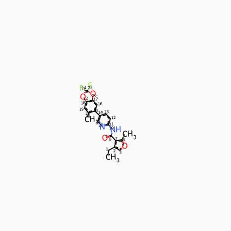 CCc1coc(C)c1C(=O)Nc1ccc(-c2cc3c(cc2C)OC(F)(F)O3)cn1